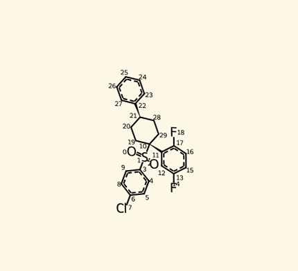 O=S(=O)(c1ccc(Cl)cc1)[C@]1(c2cc(F)ccc2F)CC[C@@H](c2ccccc2)CC1